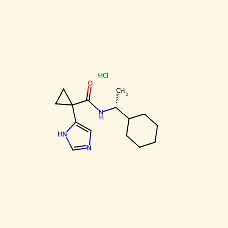 C[C@@H](NC(=O)C1(c2cnc[nH]2)CC1)C1CCCCC1.Cl